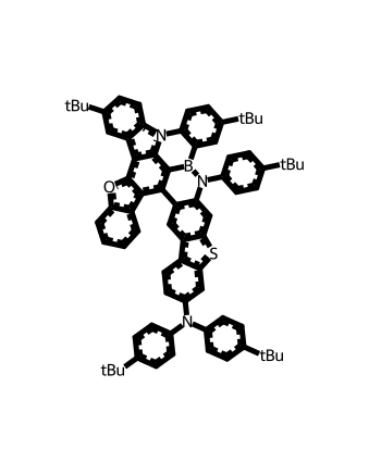 CC(C)(C)c1ccc(N2B3c4cc(C(C)(C)C)ccc4-n4c5ccc(C(C)(C)C)cc5c5c6oc7ccccc7c6c(c3c54)-c3cc4c(cc32)sc2cc(N(c3ccc(C(C)(C)C)cc3)c3ccc(C(C)(C)C)cc3)ccc24)cc1